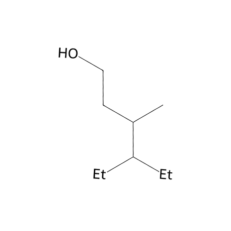 CCC(CC)C(C)CCO